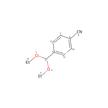 CCOC(OCC)c1ccc(C#N)cc1